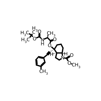 COC(=O)N1CC[C@@H]2[C@H]1CCC[C@]2(C#Cc1cccc(C)c1)OC(=O)[C@H](C)NC(=O)OC(C)(C)C